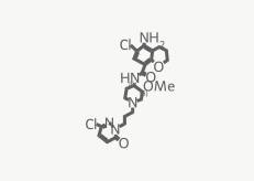 CO[C@H]1CN(CCCn2nc(Cl)ccc2=O)CC[C@H]1NC(=O)c1cc(Cl)c(N)c2c1OCCC2